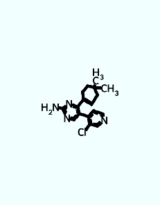 CC1(C)CC=C(c2nc(N)ncc2-c2ccncc2Cl)CC1